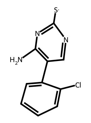 Nc1nc([S])ncc1-c1ccccc1Cl